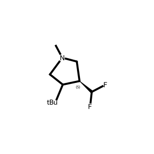 CN1CC(C(C)(C)C)[C@H](C(F)F)C1